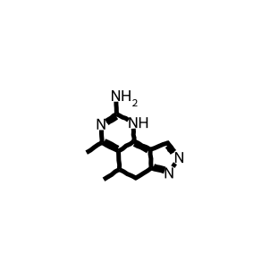 CC1=C2C(=C3C=NN=C3CC2C)NC(N)=N1